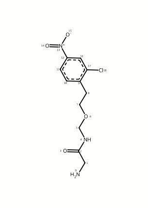 NCC(=O)NCOCCc1ccc([N+](=O)[O-])cc1Cl